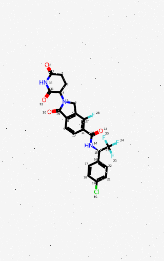 O=C1CCC(N2Cc3c(ccc(C(=O)N[C@H](c4ccc(Cl)cc4)C(F)(F)F)c3F)C2=O)C(=O)N1